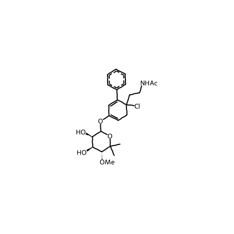 CO[C@@H]1[C@@H](O)[C@@H](O)C(OC2=CCC(Cl)(CCNC(C)=O)C(c3ccccc3)=C2)OC1(C)C